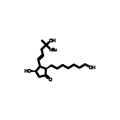 CCCCC(C)(O)C/C=C/C1[C@H](O)CC(=O)[C@@H]1CCCCCCCO